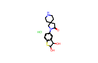 Cl.O=C1CC2(CCNCC2)CN1c1ccc2c(c1)C(O)C(O)S2